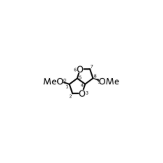 COC1COC2C1OC[C@H]2OC